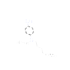 CCCCCN(CCCCOC)c1ccc(N)cc1